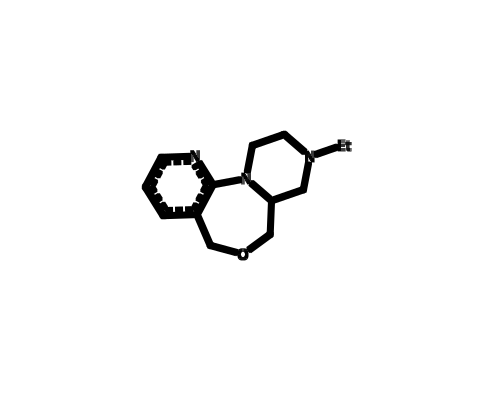 CCN1CCN2c3ncccc3COCC2C1